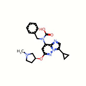 CN1CC[C@H](Oc2cc(N(Cc3ccccc3)C(=O)O)c3ncc(C4CC4)n3n2)C1